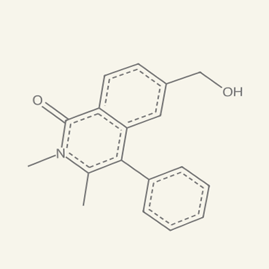 Cc1c(-c2ccccc2)c2cc(CO)ccc2c(=O)n1C